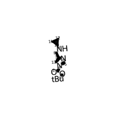 CC(C)(C)OC(=O)n1cnc(CNC2CC2)c1